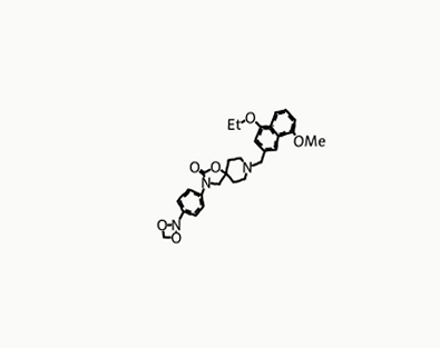 CCOc1cc(CN2CCC3(CC2)CN(c2ccc(N4OCO4)cc2)C(=O)O3)cc2c(OC)cccc12